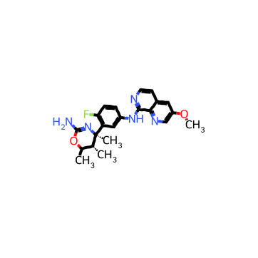 COc1cnc2c(Nc3ccc(F)c([C@]4(C)N=C(N)OC(C)[C@H]4C)c3)nccc2c1